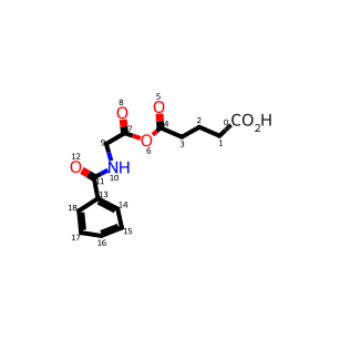 O=C(O)CCCC(=O)OC(=O)CNC(=O)c1ccccc1